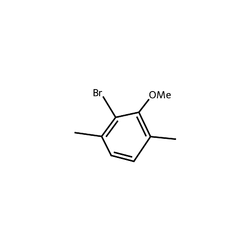 COc1c(C)ccc(C)c1Br